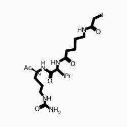 CC(=O)[C@H](CCCNC(N)=O)NC(=O)C(NC(=O)CCCCNC(=O)CI)C(C)C